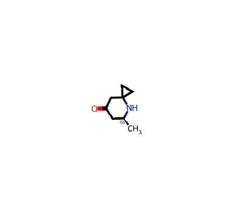 C[C@H]1CC(=O)CC2(CC2)N1